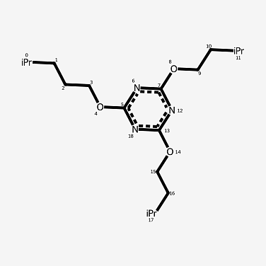 CC(C)CCCOc1nc(OCCC(C)C)nc(OCCC(C)C)n1